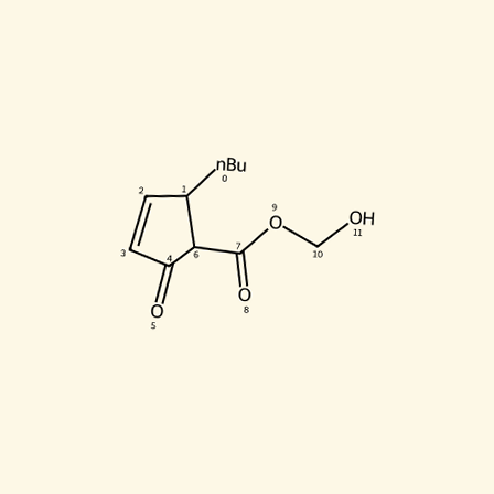 CCCCC1C=CC(=O)C1C(=O)OCO